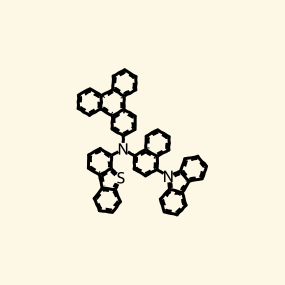 c1ccc2c(c1)sc1c(N(c3ccc4c5ccccc5c5ccccc5c4c3)c3ccc(-n4c5ccccc5c5ccccc54)c4ccccc34)cccc12